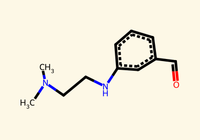 CN(C)CCNc1cccc(C=O)c1